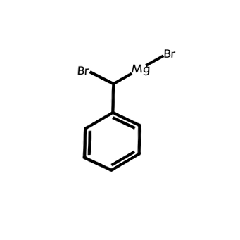 [Br][Mg][CH](Br)c1ccccc1